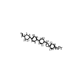 C=CC1CCC(c2ccc(C3C=CC(COc4ccc(CCC)cc4)CC3)cc2)CC1